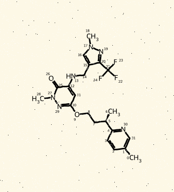 Cc1ccc([C@H](C)CCOc2cc(NCc3cn(C)nc3C(F)(F)F)c(=O)n(C)n2)nc1